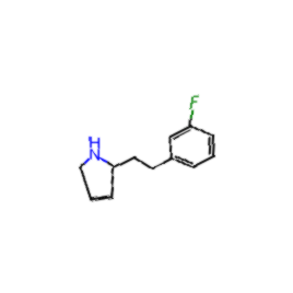 Fc1cccc(CCC2CCCN2)c1